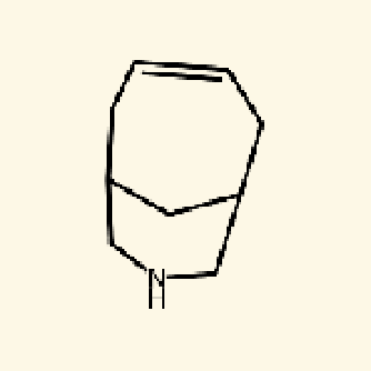 C1=CCC2CNCC(C1)C2